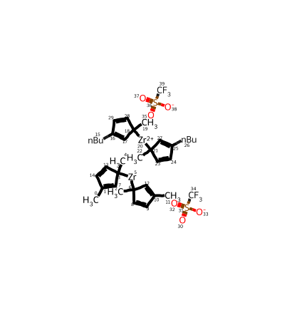 CC1=C[C](C)([Zr][C]2(C)C=CC(C)=C2)C=C1.CCCCC1=C[C](C)([Zr+2][C]2(C)C=CC(CCCC)=C2)C=C1.O=S(=O)([O-])C(F)(F)F.O=S(=O)([O-])C(F)(F)F